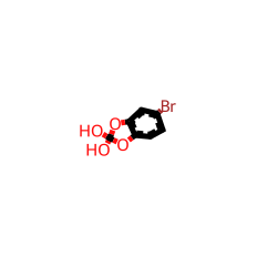 OC1(O)Oc2ccc(Br)cc2O1